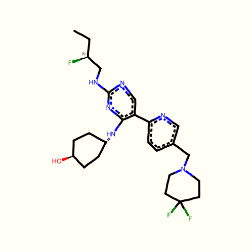 CC[C@H](F)CNc1ncc(-c2ccc(CN3CCC(F)(F)CC3)cn2)c(N[C@H]2CC[C@H](O)CC2)n1